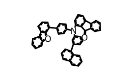 O=C1c2ccccc2-c2cccc(N(c3ccc(-c4cccc5c4oc4ccccc45)cc3)c3cccc(-c4cccc5ccccc45)c3)c21